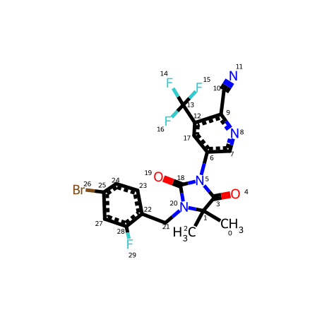 CC1(C)C(=O)N(c2cnc(C#N)c(C(F)(F)F)c2)C(=O)N1Cc1ccc(Br)cc1F